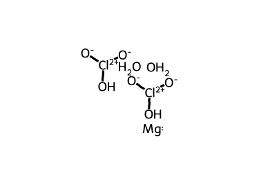 O.O.[Mg].[O-][Cl+2]([O-])O.[O-][Cl+2]([O-])O